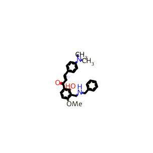 COc1ccc(C(=O)/C=C/c2ccc(N(C)C)cc2)c(O)c1CNCc1ccccc1